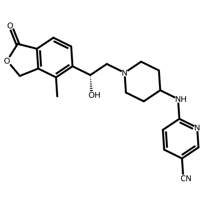 Cc1c([C@@H](O)CN2CCC(Nc3ccc(C#N)cn3)CC2)ccc2c1COC2=O